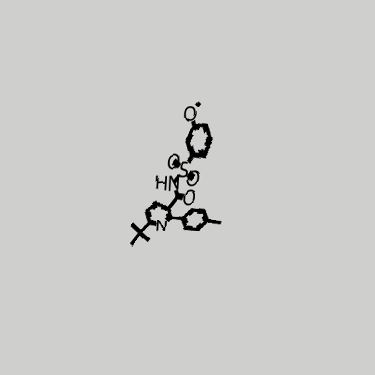 COc1cccc(S(=O)(=O)NC(=O)c2ccc(C(C)(C)C)nc2-c2ccc(C)cc2)c1